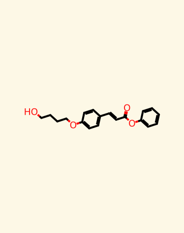 O=C(C=Cc1ccc(OCCCCO)cc1)Oc1ccccc1